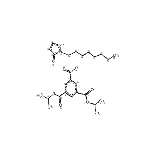 CC(C)OC(=O)c1cc(C(=O)OC(C)C)cc([N+](=O)[O-])c1.CCCCCCCCn1sccc1=O